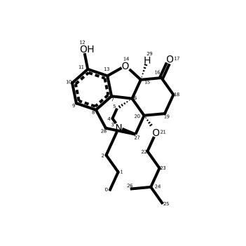 CCCN1CC[C@]23c4c5ccc(O)c4O[C@H]2C(=O)CC[C@@]3(OCCC(C)C)C1C5